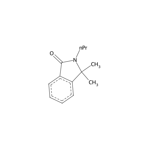 CCCN1C(=O)c2ccccc2C1(C)C